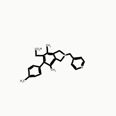 Cc1ccc(-c2c(C)c3c(c(C)c2CC(=O)O)CN(Cc2ccncc2)C3)cc1